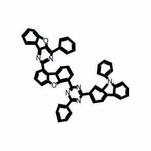 c1ccc(-c2nc(-c3ccc4c5ccccc5n(-c5ccccc5)c4c3)nc(-c3cccc4c3oc3cccc(-c5nc(-c6ccccc6)c6oc7ccccc7c6n5)c34)n2)cc1